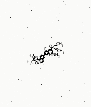 CCCN(CCC)C(=O)C1=Cc2c(F)cc(-c3ccc(Cc4nc(C)cc(C)n4)c(/C=C\NC=O)c3)cc2N=C(N)C1